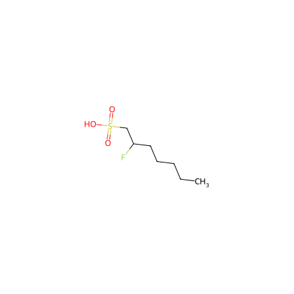 CCCCCC(F)CS(=O)(=O)O